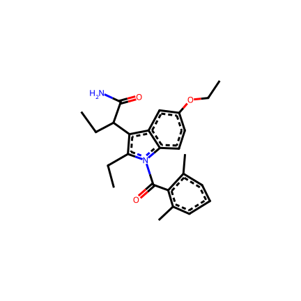 CCOc1ccc2c(c1)c(C(CC)C(N)=O)c(CC)n2C(=O)c1c(C)cccc1C